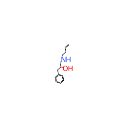 C=CCCNCC(O)Cc1ccccc1